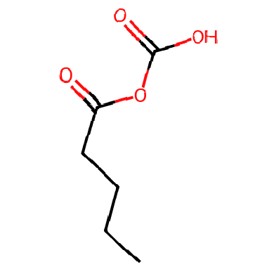 CCCCC(=O)OC(=O)O